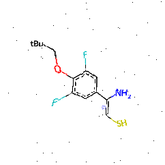 CC(C)(C)COc1c(F)cc(/C(N)=C/S)cc1F